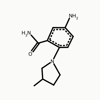 CC1CCN(c2ccc(N)cc2C(N)=O)C1